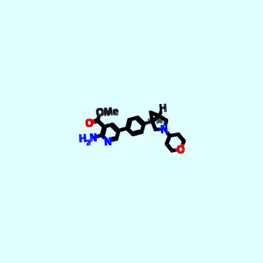 COC(=O)c1cc(-c2ccc([C@@]34C[C@@H]3CN(C3CCOCC3)C4)cc2)cnc1N